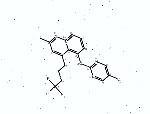 Cc1cc(CCCC(F)(F)F)c2c(Oc3ncc(Cl)cn3)cccc2n1